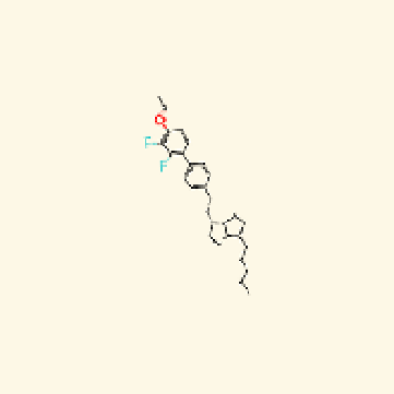 CCCCCC1CCC2C(CCc3ccc(-c4ccc(OCC)c(F)c4F)cc3)CCC12